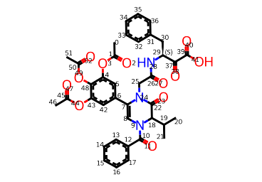 CC(=O)Oc1cc(C2=CN(C(=O)c3ccccc3)C(C(C)C)C(=O)N2CC(=O)N[C@@H](Cc2ccccc2)C(=O)C(=O)O)cc(OC(C)=O)c1OC(C)=O